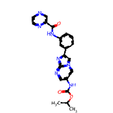 CC(C)OC(=O)Nc1cnc2nc(-c3cccc(NC(=O)c4cnccn4)c3)cn2c1